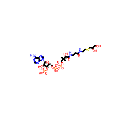 CC(C)(COP(=O)(O)OP(=O)(O)OC[C@H]1O[C@@H](n2cnc3c(N)ncnc32)[C@H](O)[C@@H]1OP(=O)(O)O)[C@@H](O)C(=O)NCCC(=O)NCCSCC(O)CO